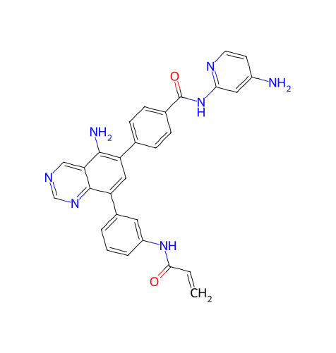 C=CC(=O)Nc1cccc(-c2cc(-c3ccc(C(=O)Nc4cc(N)ccn4)cc3)c(N)c3cncnc23)c1